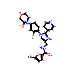 O=C(NCc1cn(-c2ccc(N3CCOCC3=O)cc2F)c(C2C=CN=CC2)n1)c1ccc(Cl)s1